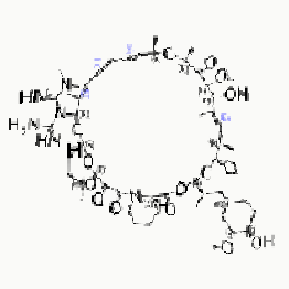 CO[C@@H]1C[C@@H](CC(C)[C@@H]2CC(=O)[C@H](C)/C=C(\C)[C@@H](O)[C@@H](OC)C(=O)[C@H](C)C[C@H](C)/C=C/C=C/C=C(/C)[C@H](N(C(=N)N)C(=N)N(C)C)C[C@@H]3CC[C@@H](C)[C@@](O)(O3)C(=O)C(=O)N3CCCC[C@H]3C(=O)O2)CC[C@H]1O